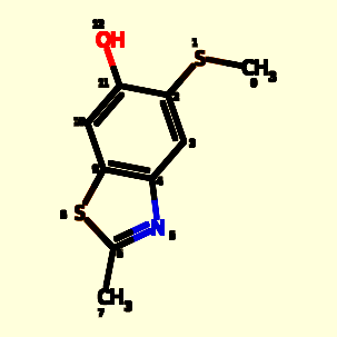 CSc1cc2nc(C)sc2cc1O